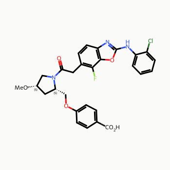 CO[C@H]1C[C@@H](COc2ccc(C(=O)O)cc2)N(C(=O)Cc2ccc3nc(Nc4ccccc4Cl)oc3c2F)C1